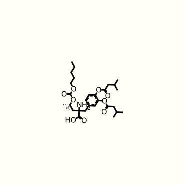 CCCCCOC(=O)O[C@@H](C)CC(N)(Cc1ccc(OC(=O)CC(C)C)c(OC(=O)CC(C)C)c1)C(=O)O